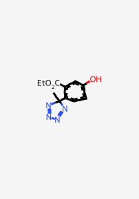 CCOC(=O)c1cc(O)ccc1C1(C)N=NN=N1